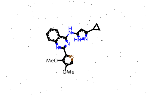 COc1csc(-c2nc(Nc3cc(C4CC4)n[nH]3)c3ccccc3n2)c1OC